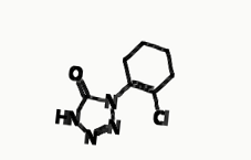 O=c1[nH]nnn1C1=C(Cl)CCCC1